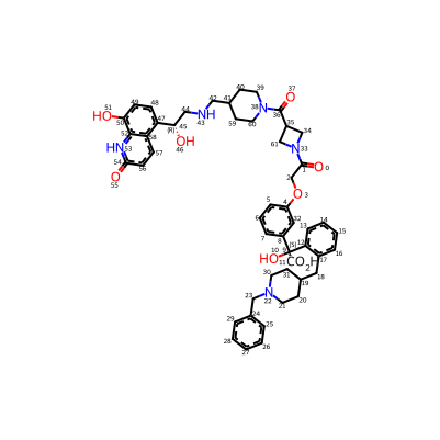 O=C(COc1cccc([C@@](O)(C(=O)O)c2ccccc2CC2CCN(Cc3ccccc3)CC2)c1)N1CC(C(=O)N2CCC(CNC[C@H](O)c3ccc(O)c4[nH]c(=O)ccc34)CC2)C1